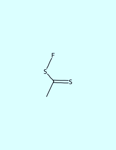 CC(=S)SF